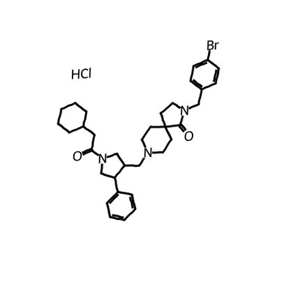 Cl.O=C(CC1CCCCC1)N1CC(CN2CCC3(CC2)CCN(Cc2ccc(Br)cc2)C3=O)C(c2ccccc2)C1